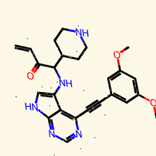 C=CC(=O)C(Nc1c[nH]c2ncnc(C#Cc3cc(OC)cc(OC)c3)c12)C1CCNCC1